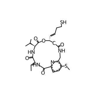 C/C=C1\NC(=O)c2ccc(SC)c(n2)CNC(=O)C[C@@H](/C=C/CCS)OC(=O)[C@H](C(C)C)NC1=O